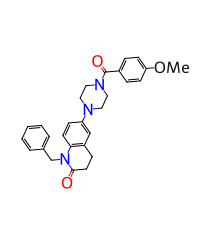 COc1ccc(C(=O)N2CCN(c3ccc4c(c3)CCC(=O)N4Cc3ccccc3)CC2)cc1